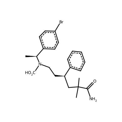 C[C@@H](c1ccc(Br)cc1)N(CC[C@H](CC(C)(C)C(N)=O)c1ccccc1)C(=O)O